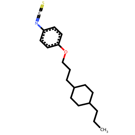 CCCC1CCC(CCCOc2ccc(N=C=S)cc2)CC1